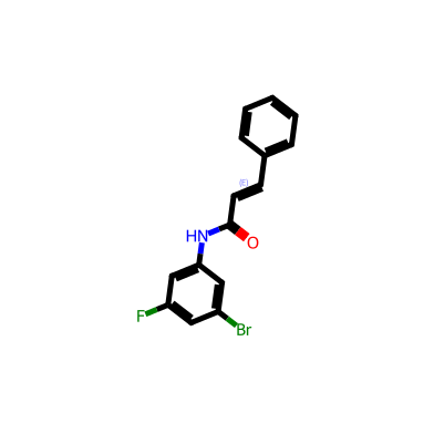 O=C(/C=C/c1ccccc1)Nc1cc(F)cc(Br)c1